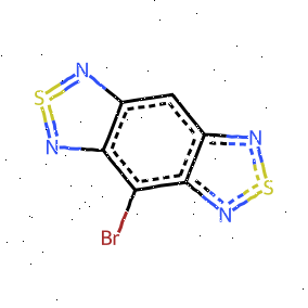 Brc1c2c(cc3nsnc13)N=S=N2